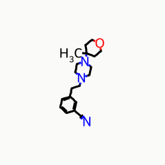 CC1(N2CCN(CCc3cccc(C#N)c3)CC2)CCOCC1